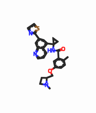 Cc1ccc(OCC2CCN2C)cc1C(=O)NC1(c2cc(-c3nccs3)cc3ncccc23)CC1